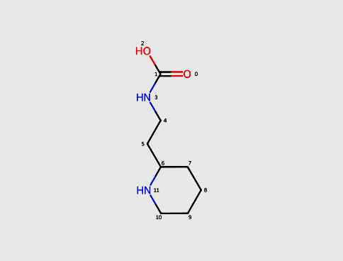 O=C(O)NCCC1CCCCN1